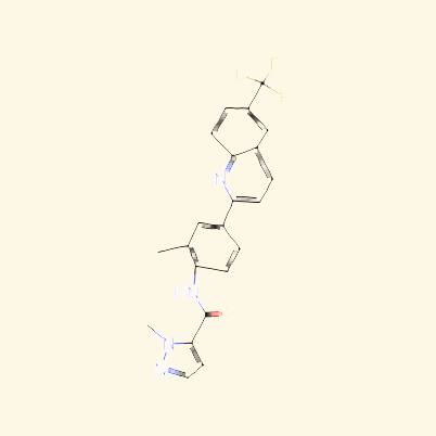 Cc1cc(-c2ccc3cc(C(F)(F)F)ccc3n2)ccc1NC(=O)c1ccnn1C